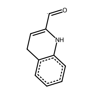 O=[C]C1=CCc2ccccc2N1